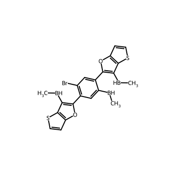 CBc1cc(-c2oc3ccsc3c2BC)c(Br)cc1-c1oc2ccsc2c1BC